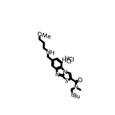 COCCCNCc1ccc2c(c1)nc1sc(C(=O)N(C)CC(C)(C)C)cn12.Cl.Cl